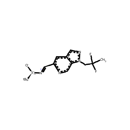 CC(F)(F)Cn1ncc2cc(/C=N/[S@+]([O-])C(C)(C)C)ncc21